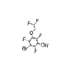 Oc1c(F)c(Br)c(F)c(OCC(F)F)c1F